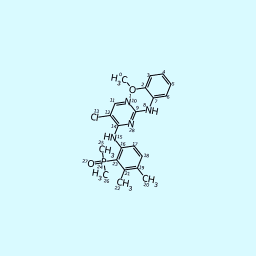 COc1ccccc1Nc1ncc(Cl)c(Nc2ccc(C)c(C)c2P(C)(C)=O)n1